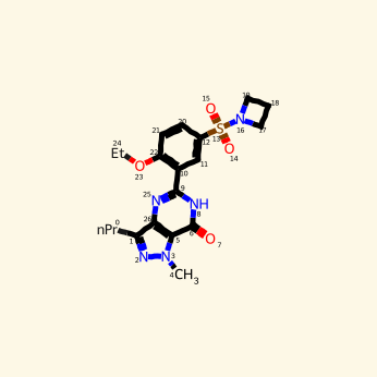 CCCc1nn(C)c2c(=O)[nH]c(-c3cc(S(=O)(=O)N4CCC4)ccc3OCC)nc12